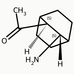 CC(=O)[C@H]1C2CCC(CC2)[C@@H]1N